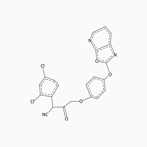 N#CC(C(=O)COc1ccc(Oc2nc3cccnc3o2)cc1)c1ccc(Cl)cc1Cl